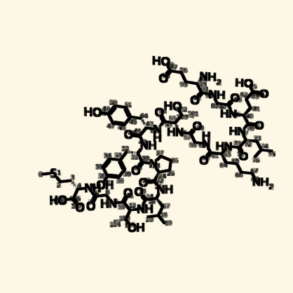 CSCC[C@H](NC(=O)CNC(=O)[C@@H](NC(=O)[C@H](CC(C)C)NC(=O)[C@@H]1CCCN1C(=O)[C@H](Cc1ccc(O)cc1)NC(=O)[C@H](Cc1ccc(O)cc1)NC(=O)[C@@H](NC(=O)CNC(=O)[C@H](CCCCN)NC(=O)[C@H](CC(C)C)NC(=O)[C@H](CCC(=O)O)NC(=O)CNC(=O)[C@@H](N)CCC(=O)O)[C@@H](C)O)[C@@H](C)O)C(=O)O